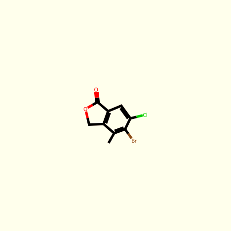 Cc1c(Br)c(Cl)cc2c1COC2=O